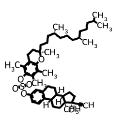 C#C[C@]1(O)CC[C@H]2[C@@H]3CCc4cc(OS(=O)(=O)Oc5c(C)c(C)c6c(c5C)CC[C@@](C)(CCC[C@H](C)CCC[C@H](C)CCCC(C)C)O6)ccc4[C@H]3CC[C@@]21C